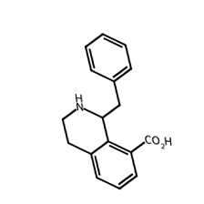 O=C(O)c1cccc2c1C(Cc1ccccc1)NCC2